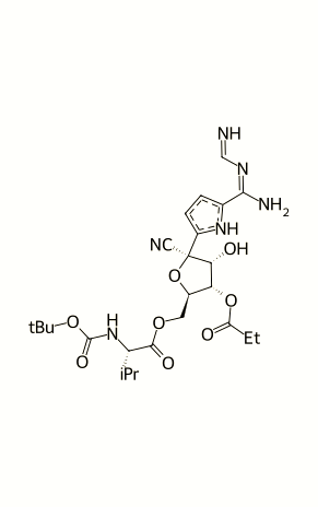 CCC(=O)O[C@H]1[C@@H](O)[C@](C#N)(c2ccc(/C(N)=N\C=N)[nH]2)O[C@@H]1COC(=O)[C@@H](NC(=O)OC(C)(C)C)C(C)C